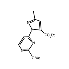 CCOC(=O)c1cc(C)nn1-c1ccnc(OC)n1